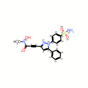 CN(O)C(=O)C#Cc1cc(-c2ccccc2)n(-c2ccc(S(N)(=O)=O)cc2)n1